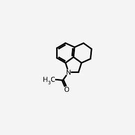 CC(=O)N1CC2CCCc3cccc1c32